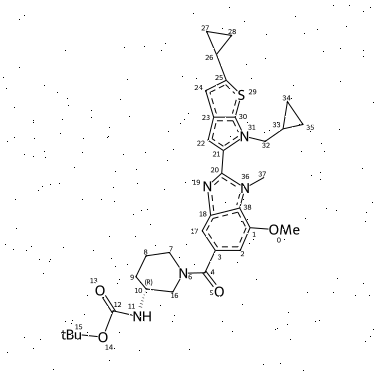 COc1cc(C(=O)N2CCC[C@@H](NC(=O)OC(C)(C)C)C2)cc2nc(-c3cc4cc(C5CC5)sc4n3CC3CC3)n(C)c12